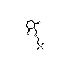 C[Si](C)(C)CCOCN1C(=O)CCCC1=O